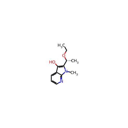 CCO[C@H](C)c1c(O)c2cccnc2n1C